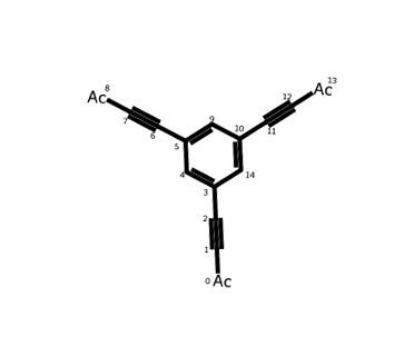 CC(=O)C#Cc1cc(C#CC(C)=O)cc(C#CC(C)=O)c1